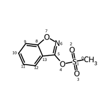 CS(=O)(=O)Oc1noc2ccccc12